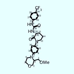 COCC1COCCN1c1ccc(N2CCC[C@@H](NC(=O)Nc3ccc(C(F)(F)F)cc3)C2=O)cc1